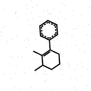 CC1=C(c2ccccc2)CCCC1C